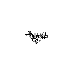 CCCC/C(=N/C1(C=O)CCCC1)N(C)Cc1ccc(-c2ccccc2S(=O)(=O)Nc2noc(C3CC3)c2C)c(COCC)c1